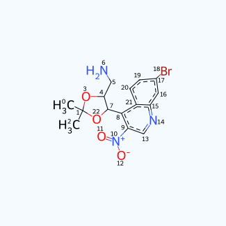 CC1(C)OC(CN)C(c2c([N+](=O)[O-])cnc3cc(Br)ccc23)O1